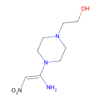 N/C(=C\[N+](=O)[O-])N1CCN(CCO)CC1